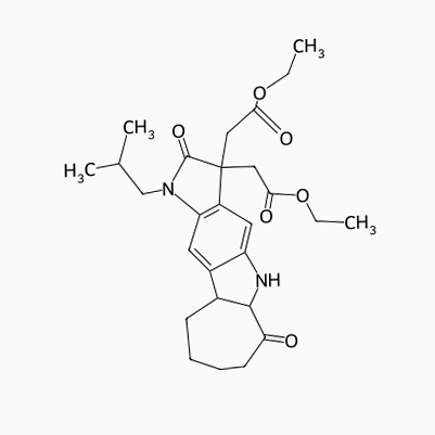 CCOC(=O)CC1(CC(=O)OCC)C(=O)N(CC(C)C)c2cc3c(cc21)NC1C(=O)CCCCC31